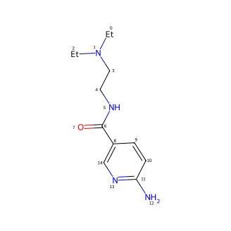 CCN(CC)CCNC(=O)c1ccc(N)nc1